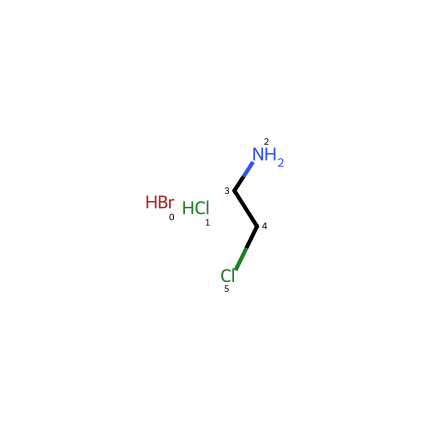 Br.Cl.NCCCl